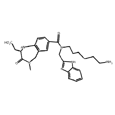 CN1Cc2cc(C(=O)N(CCCCCCN)Cc3nc4ccccc4[nH]3)ccc2NC(CC(=O)O)C1=O